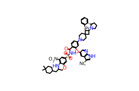 CC(C)c1ccccc1[C@@H]1CCCN1C1CC2(CCN(c3ccc(C(=O)NS(=O)(=O)c4cc5c(c([N+](=O)[O-])c4)NC(CC4CCC(C)(C)CC4)CO5)c(Oc4cnc5[nH]cc(C#N)c5c4)c3)CC2)C1